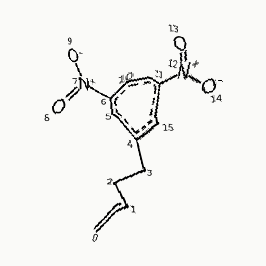 C=CCCc1cc([N+](=O)[O-])cc([N+](=O)[O-])c1